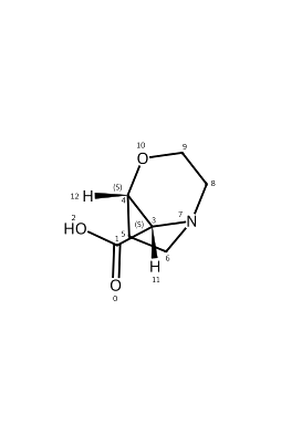 O=C(O)[C@@H]1[C@@H]2CCN1CCO2